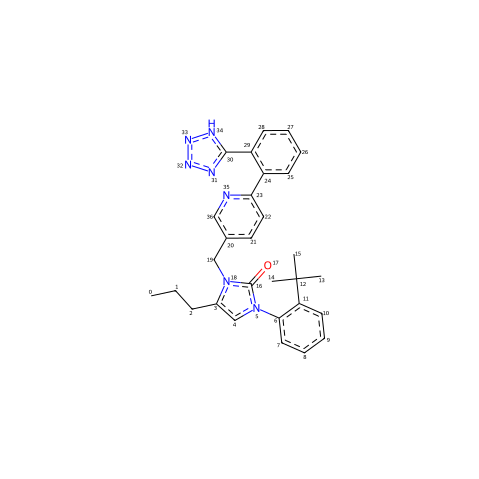 CCCc1cn(-c2ccccc2C(C)(C)C)c(=O)n1Cc1ccc(-c2ccccc2-c2nnn[nH]2)nc1